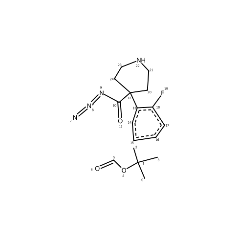 CC(C)(C)OC=O.[N-]=[N+]=NC(=O)C1(c2ccccc2F)CCNCC1